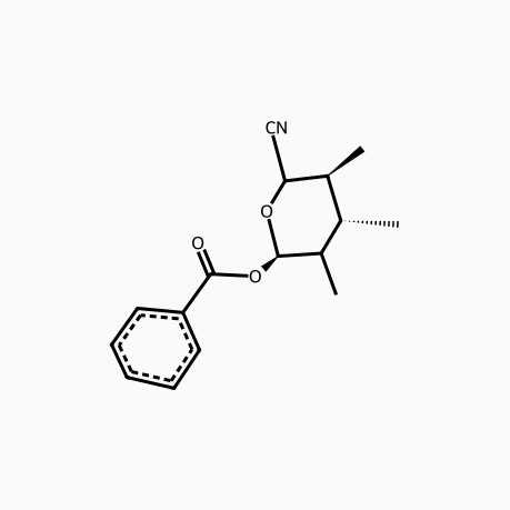 CC1[C@@H](OC(=O)c2ccccc2)OC(C#N)[C@@H](C)[C@@H]1C